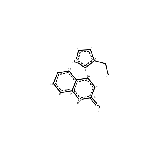 CCc1ccoc1.O=c1ccc2ccccc2o1